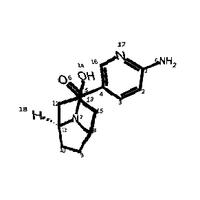 Nc1ccc(C(=O)N2C3CC[C@H]2CC(O)C3)cn1